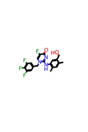 Cc1cc(C)c(Nc2nc(=O)c(F)cn2Cc2cc(F)c(F)c(F)c2)cc1CO